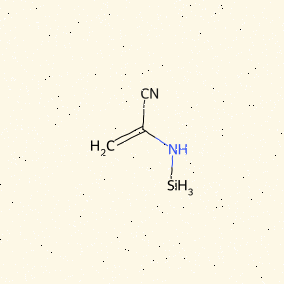 C=C(C#N)N[SiH3]